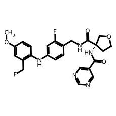 COc1ccc(Nc2ccc(CNC(=O)[C@]3(NC(=O)c4cncnc4)CCOC3)c(F)c2)c(CF)c1